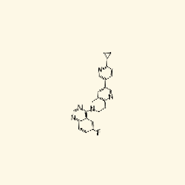 Fc1ccc2ncnc(N3CCc4ncc(-c5ccc(C6CC6)nc5)cc4C3)c2c1